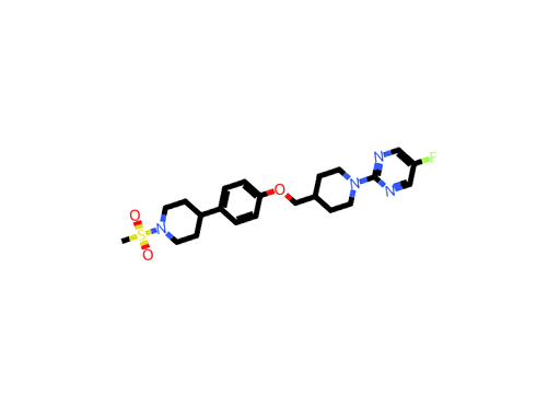 CS(=O)(=O)N1CCC(c2ccc(OCC3CCN(c4ncc(F)cn4)CC3)cc2)CC1